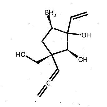 B[C@@H]1C[C@](C=C=C)(CO)[C@H](O)C1(O)C=C